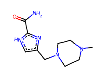 CN1CCN(Cc2c[nH]c(C(N)=O)n2)CC1